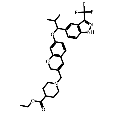 CCOC(=O)C1CCN(CC2=Cc3ccc(OC(c4ccc5[nH]nc(C(F)(F)F)c5c4)C(C)C)cc3OC2)CC1